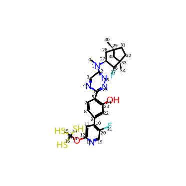 CN(c1cnc(-c2ccc(-c3cc(OC(S)(S)S)ncc3F)cc2O)nn1)[C@H]1C[C@]2(C)CC[C@@](C)(C2)[C@H]1F